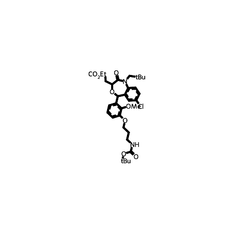 CCOC(=O)CC1OC(c2cccc(OCCCNC(=O)OC(C)(C)C)c2OC)c2cc(Cl)ccc2N(CC(C)(C)C)C1=O